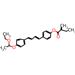 C=C(CC)C(=O)Oc1ccc(C=CC=Cc2ccc(OC(C)OCC)cc2)cc1